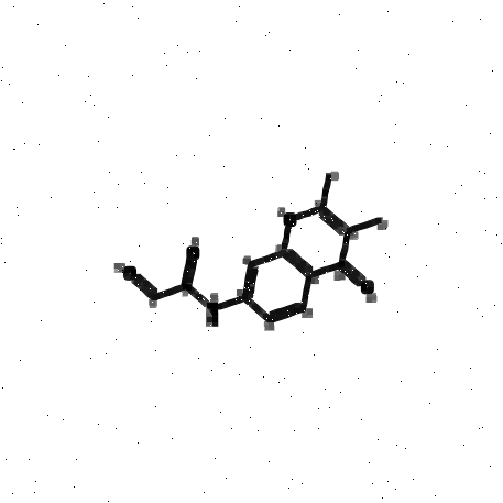 Cc1oc2cc(NC(=O)C=O)ccc2c(=O)c1C